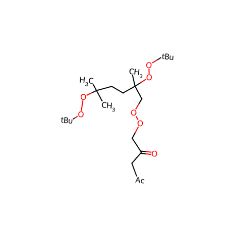 CC(=O)CC(=O)COOCC(C)(CCC(C)(C)OOC(C)(C)C)OOC(C)(C)C